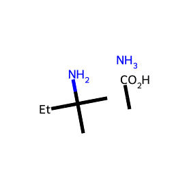 CC(=O)O.CCC(C)(C)N.N